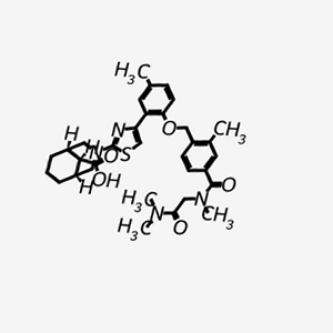 Cc1ccc(OCc2ccc(C(=O)N(C)CC(=O)N(C)C)cc2C)c(-c2csc(N3C[C@H]4CCC[C@@H](C3)[C@H]4C(=O)O)n2)c1